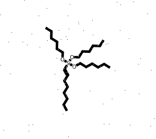 CCCCCCC=C[Si](OCCCCCC)(OCCCCCC)OCCCCCC